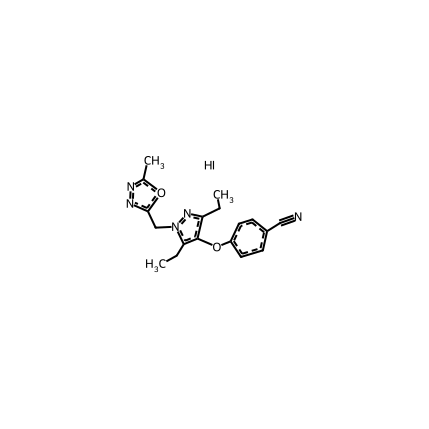 CCc1nn(Cc2nnc(C)o2)c(CC)c1Oc1ccc(C#N)cc1.I